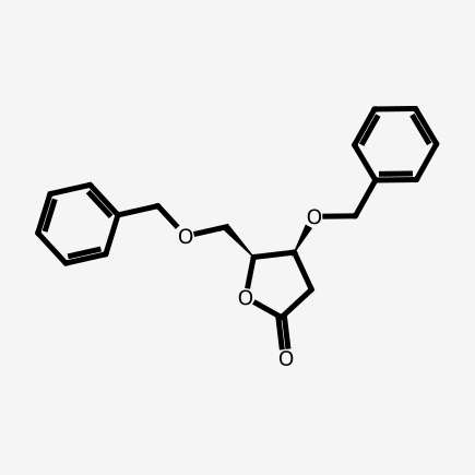 O=C1C[C@H](OCc2ccccc2)[C@H](COCc2ccccc2)O1